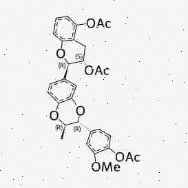 COc1cc([C@H]2Oc3cc([C@H]4Oc5cccc(OC(C)=O)c5C[C@@H]4OC(C)=O)ccc3O[C@@H]2C)ccc1OC(C)=O